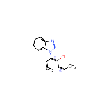 C=C/C(=C(O)\C=C/C)n1nnc2ccccc21